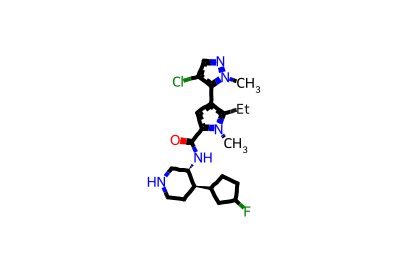 CCc1c(-c2c(Cl)cnn2C)cc(C(=O)N[C@H]2CNCC[C@@H]2C2CCC(F)C2)n1C